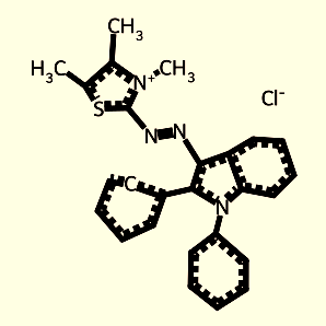 Cc1sc(N=Nc2c(-c3ccccc3)n(-c3ccccc3)c3ccccc23)[n+](C)c1C.[Cl-]